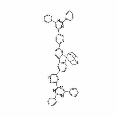 c1ccc(-c2nc(-c3ccccc3)nc(-c3ccc(-c4ccc5c(c4)C4(c6ccc(-c7cncc(-c8nc(-c9ccccc9)nc(-c9ccccc9)n8)c7)cc6-5)C5CC6CC(C5)CC4C6)nc3)n2)cc1